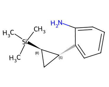 C[Si](C)(C)[C@@H]1C[C@H]1c1ccccc1N